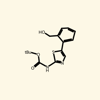 CC(C)(C)OC(=O)Nc1ncc(-c2ccccc2CO)s1